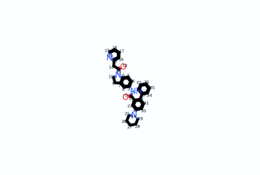 O=C(Nc1ccc2c(c1)CCN2C(=O)Cc1ccccn1)c1cc(N2CCCCC2)ccc1-c1ccccc1